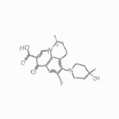 C[C@H]1CCc2c(N3CCC(C)(O)CC3)c(F)cc3c(=O)c(C(=O)O)cn1c23